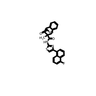 CC1(C(=O)Nc2nc(-c3cccc4c(F)cccc34)cs2)CC2C(=O)NC1c1ccccc12